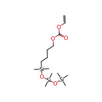 C=COC(=O)OCCCC[Si](C)(C)O[Si](C)(C)O[Si](C)(C)C